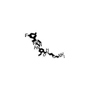 CCc1cc(Nc2nccn3c(-c4cc(C)cc(F)c4)cnc23)ccc1C(=O)NCCOCCN